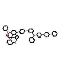 c1ccc(-c2ccc(-c3ccc(N(c4ccccc4)c4cccc(-c5ccc(-c6ccc7c(c6)C6(c8ccccc8Sc8ccccc86)c6ccccc6[SiH]7c6ccccc6)cc5)c4)cc3)cc2)cc1